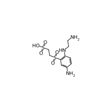 NCCNc1ccc(N)cc1S(=O)(=O)CCS(=O)(=O)O